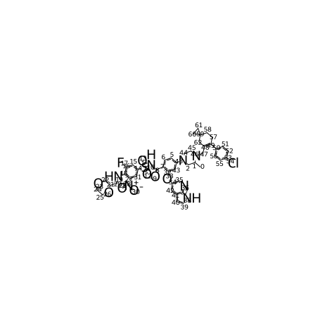 CC1CN(c2ccc(C(=O)NS(=O)(=O)c3cc(F)c(NCC4COCCO4)c([N+](=O)[O-])c3)c(Oc3cnc4[nH]ccc4c3)c2)CCN1CC1=C(c2ccc(Cl)cc2)CCC2(CC2)C1